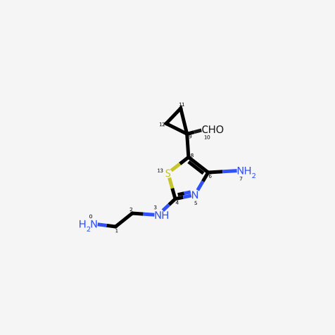 NCCNc1nc(N)c(C2(C=O)CC2)s1